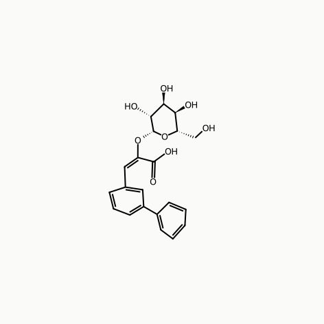 O=C(O)/C(=C\c1cccc(-c2ccccc2)c1)O[C@H]1O[C@@H](CO)[C@H](O)[C@H](O)[C@H]1O